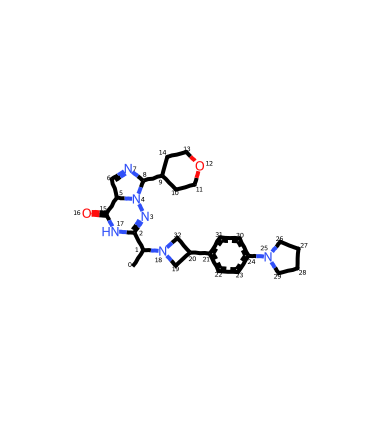 CC(C1=NN2C(C=NC2C2CCOCC2)C(=O)N1)N1CC(c2ccc(N3CCCC3)cc2)C1